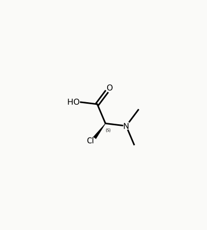 CN(C)[C@@H](Cl)C(=O)O